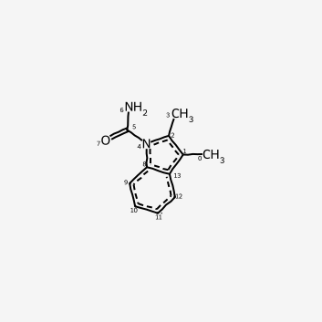 Cc1c(C)n(C(N)=O)c2cc[c]cc12